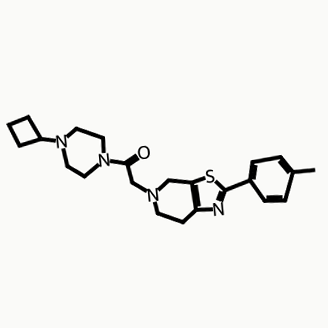 Cc1ccc(-c2nc3c(s2)CN(CC(=O)N2CCN(C4CCC4)CC2)CC3)cc1